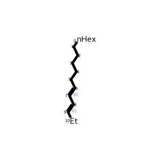 [CH2]CCCCCCCCCC/C=C/C=C/CC